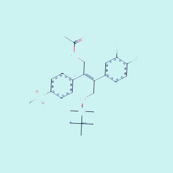 CC(=O)OCC(=C(CO[Si](C)(C)C(C)(C)C)c1ccc(F)c(F)c1)c1ccc(S(C)(=O)=O)cc1